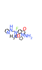 COc1c(NCCNc2ccccn2)c(F)cc2c(=O)cc(N)n(C3CCCC3)c12